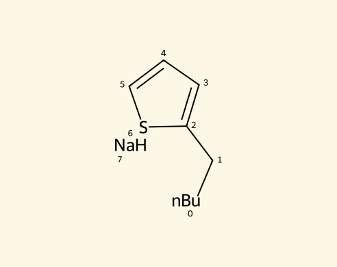 CCCCCc1cccs1.[NaH]